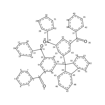 O=C(c1ccccc1)c1cc(C(=O)c2ccccc2)cc(C2(c3cc(C(=O)c4ccccc4)cc(C(=O)c4ccccc4)c3)c3ccccc3-c3ccccc32)c1